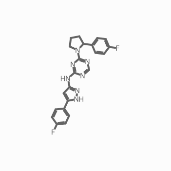 Fc1ccc(-c2cc(Nc3ncnc(N4CCCC4c4ccc(F)cc4)n3)n[nH]2)cc1